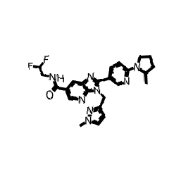 CC1CCCN1c1ccc(-c2nc3cc(C(=O)NCC(F)F)cnc3n2Cc2ccn(C)n2)cn1